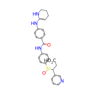 O=C(O)CC(c1cccnc1)[S+]([O-])c1ccc(NC(=O)c2ccc(NC3=CCCCN3)cc2)cc1